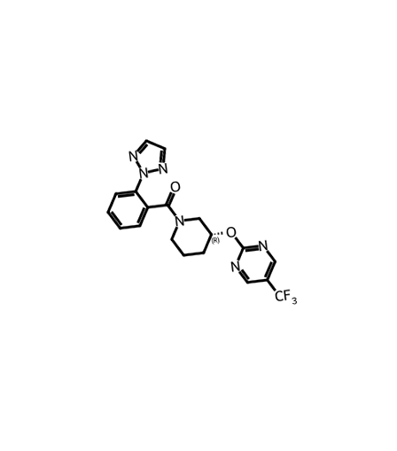 O=C(c1ccccc1-n1nccn1)N1CCC[C@@H](Oc2ncc(C(F)(F)F)cn2)C1